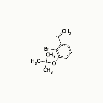 C=[C]c1cccc(OC(C)(C)C)c1Br